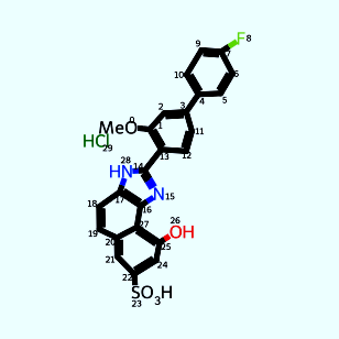 COc1cc(-c2ccc(F)cc2)ccc1-c1nc2c(ccc3cc(S(=O)(=O)O)cc(O)c32)[nH]1.Cl